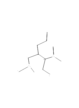 CCCC(CN(C)C)C(CC)N(C)C